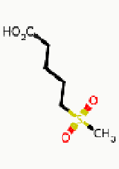 CS(=O)(=O)CCCCC(=O)O